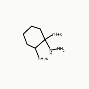 CCCCCCC1CCCCC1(CCCCCC)NN